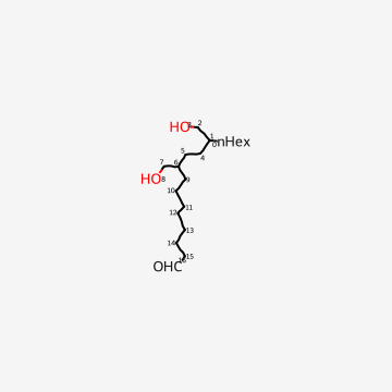 CCCCCCC(CO)CCC(CO)CCCCCCCC=O